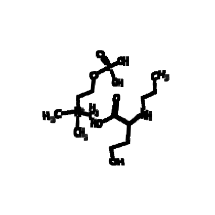 CCCNC(CCO)C(=O)O.C[N+](C)(C)CCOP(=O)(O)O